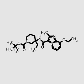 CCOc1cccn2c(C(=O)NC3(CC)CCCN(C(=O)OC(C)(C)C)C3)c(C)nc12